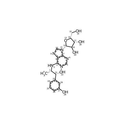 C[C@H](Nc1ncnc2c1ncn2[C@@H]1O[C@H](CO)[C@H](O)C1O)[C@H](O)c1cccc(O)c1